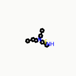 C1=Cc2c(sc3cc(N(c4ccc(-c5ccccc5)cc4)c4ccc5cc(-c6ccccc6)ccc5c4)ccc23)NC1